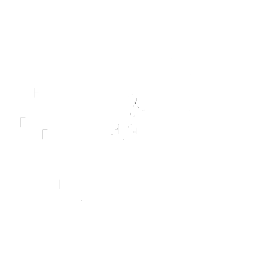 [CH3][Zr]([CH3])(=[SiH2])([O]c1ccc(C(F)(F)F)cc1)([O]c1ccc(C(F)(F)F)cc1)([CH]1C=CC2=C1CCCC2)[CH]1C=CC2=C1CCCC2